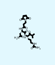 CC(C)C(=O)[C@H](CCCNC(N)=O)NC(=O)[C@H](CC(N)=O)NC(=O)CCN1C(=O)C=CC1=O